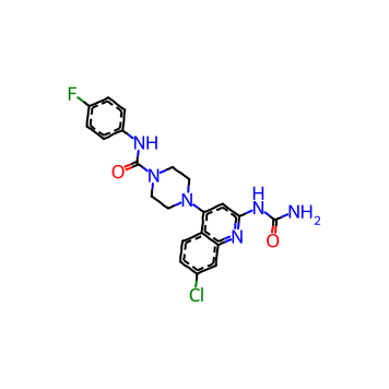 NC(=O)Nc1cc(N2CCN(C(=O)Nc3ccc(F)cc3)CC2)c2ccc(Cl)cc2n1